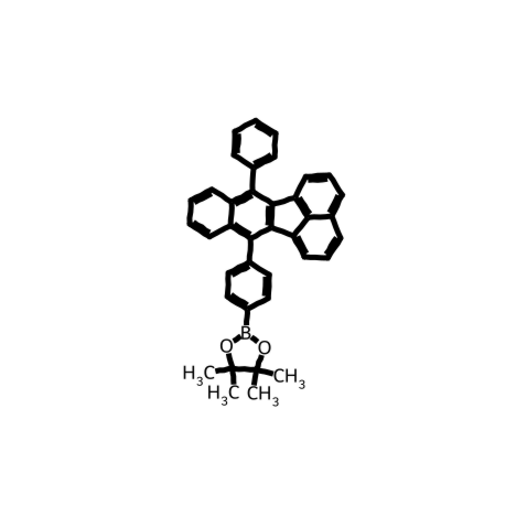 CC1(C)OB(c2ccc(-c3c4c(c(-c5ccccc5)c5ccccc35)-c3cccc5cccc-4c35)cc2)OC1(C)C